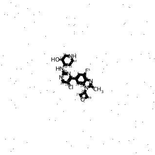 Cc1nc2c(F)cc(-c3nc(N[C@@H]4CCNC[C@H]4O)ncc3Cl)cc2n1C1COC1